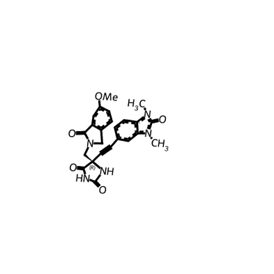 COc1ccc2c(c1)C(=O)N(C[C@@]1(C#Cc3ccc4c(c3)n(C)c(=O)n4C)NC(=O)NC1=O)C2